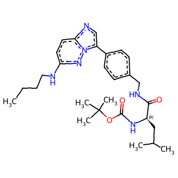 CCCCNc1ccc2ncc(-c3ccc(CNC(=O)[C@@H](CC(C)C)NC(=O)OC(C)(C)C)cc3)n2n1